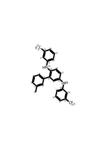 Cc1cccc(-c2cc(Nc3cccc(C(F)(F)F)c3)ccc2Nc2cccc(C(F)(F)F)c2)c1